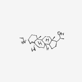 CCN[C@@H]1CC[C@@]2(C)[C@@H](CC[C@@H]3[C@@H]2CC[C@]2(C)[C@@H]([C@H](C)O)CC[C@@H]32)C1